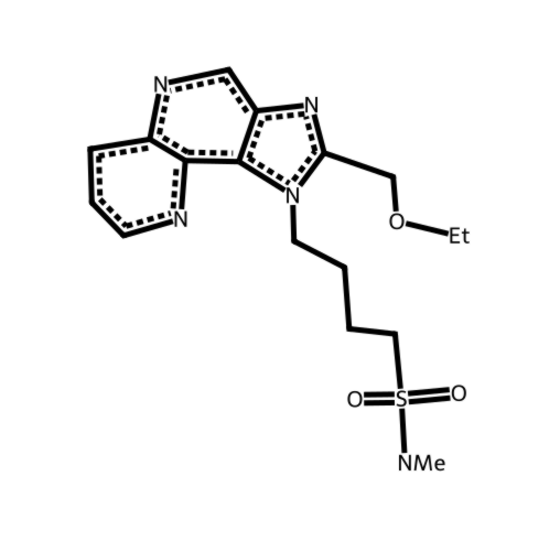 CCOCc1nc2cnc3cccnc3c2n1CCCCS(=O)(=O)NC